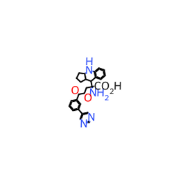 NC(CC(=O)C(=O)c1cccc(-c2cncnc2)c1)(C(=O)O)C1c2ccccc2NC2CCCC21